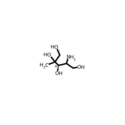 CC(O)(CO)[C@H](O)C(N)CO